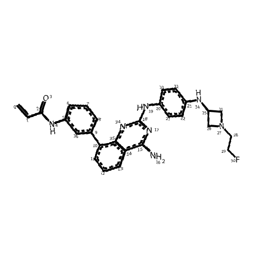 C=CC(=O)Nc1cccc(-c2cccc3c(N)nc(Nc4ccc(NC5CN(CCF)C5)cc4)nc23)c1